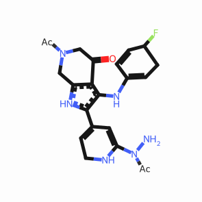 CC(=O)N1CC(=O)c2c([nH]c(C3=CCNC(N(N)C(C)=O)=C3)c2NC2=CCC(F)C=C2)C1